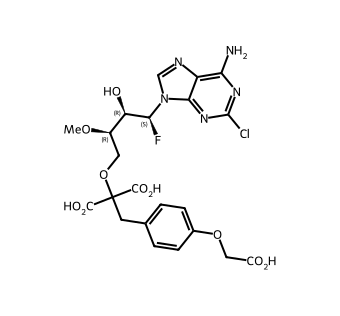 CO[C@H](COC(Cc1ccc(OCC(=O)O)cc1)(C(=O)O)C(=O)O)[C@@H](O)[C@H](F)n1cnc2c(N)nc(Cl)nc21